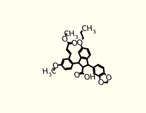 CCCOc1ccc2c(c1)C(c1ccc(OC)cc1C=CC(=O)OC)C(C(=O)O)C2c1ccc2c(c1)OCO2